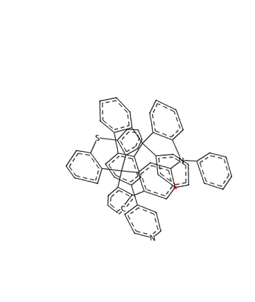 c1ccc(N(c2ccc3c(c2)C2(c4ccccc4Sc4ccccc42)c2ccccc2-3)c2ccccc2C2(c3ccccc3)c3ccccc3-c3ccc(-c4ccncc4)cc32)cc1